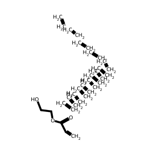 C=C.C=C.C=C.C=C.C=C.C=C.C=C.C=C.C=C.C=C.C=C.C=C.C=C.C=C.C=CC(=O)OCCO